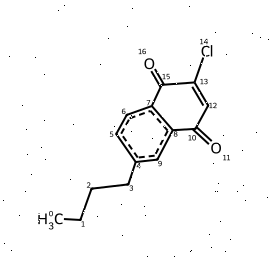 CCCCc1ccc2c(c1)C(=O)C=C(Cl)C2=O